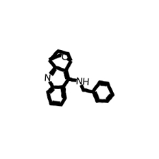 c1ccc(CNc2c3c(nc4ccccc24)C2CCC3CC2)cc1